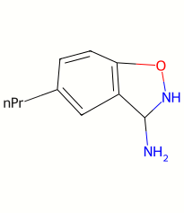 [CH2]CCc1ccc2c(c1)C(N)NO2